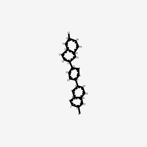 Cc1ccc2cc(-c3ccc(-c4ccc5cc(C)ccc5c4)cc3)ccc2c1